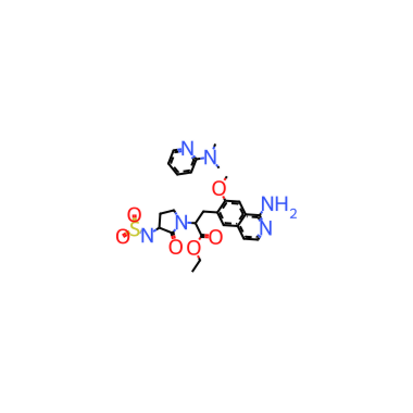 CCOC(=O)C(Cc1cc2ccnc(N)c2cc1OC)N1CCC(N=S(=O)=O)C1=O.CN(C)c1ccccn1